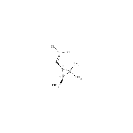 CC1(C)[C@H](C=C(Cl)Cl)[C@@H]1C(=O)O